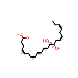 CC/C=C\C/C=C\C[C@@H](O)[C@@H](O)/C=C/C=C/C=C\C/C=C\CCC(=O)O